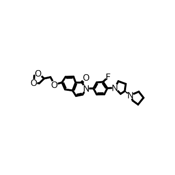 O=c1c2ccc(OCC3COCO3)cc2ccn1-c1ccc(N2CC[C@@H](N3CCCC3)C2)c(F)c1